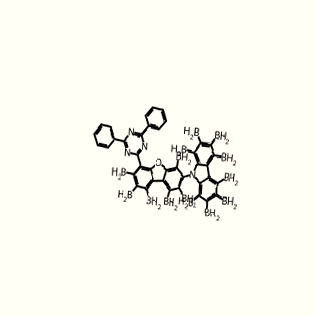 Bc1c(B)c(B)c2c(oc3c(B)c(-n4c5c(B)c(B)c(B)c(B)c5c5c(B)c(B)c(B)c(B)c54)c(B)c(B)c32)c1-c1nc(-c2ccccc2)nc(-c2ccccc2)n1